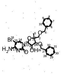 C[C@]1(COCc2ccccc2)O[C@@H](n2cc(Br)c(N)nc2=O)[C@H](O)[C@@H]1OCc1ccccc1